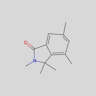 Cc1cc(C)c2c(c1)C(=O)N(C)C2(C)C